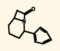 O=C1CC2CCCC(c3ccccc3)N12